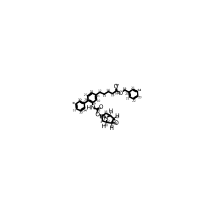 CCN1[C@@H]2C[C@@H](OC(=O)Nc3cc(CCCCC(=O)OCc4ccccc4)ccc3-c3ccccc3)C[C@H]1[C@@H]1O[C@@H]12